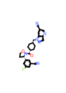 N#Cc1cc(F)cc([C@@H]2CCON2C(=O)[C@H]2CC[C@H](Cn3ncc4ncc(C#N)cc43)CC2)c1